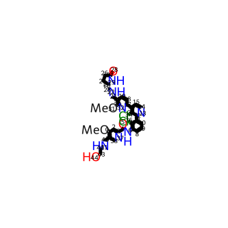 COc1cc(C(=O)Nc2cccc(-c3nccc(-c4ccc(CNC[C@@H]5CCC(=O)N5)c(OC)n4)c3Cl)c2Cl)ncc1CNCCO